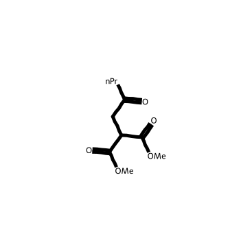 CCCC(=O)CC(C(=O)OC)C(=O)OC